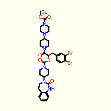 CC(C)(C)OC(=O)N1CCN(C2CCN(C(=O)[C@@H](Cc3ccc(Br)c(Br)c3)OC(=O)N3CCC(N4CCc5ccccc5NC4=O)CC3)CC2)CC1